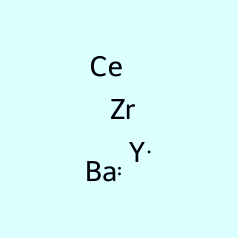 [Ba].[Ce].[Y].[Zr]